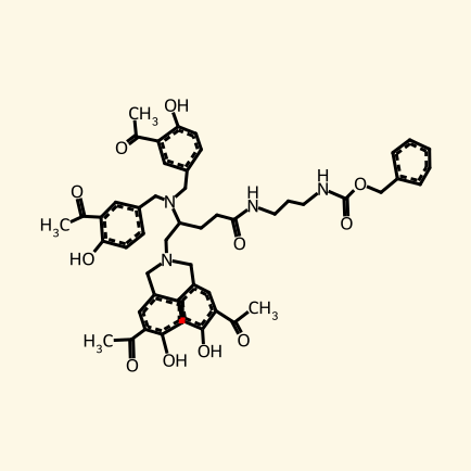 CC(=O)c1cc(CN(Cc2ccc(O)c(C(C)=O)c2)CC(CCC(=O)NCCCNC(=O)OCc2ccccc2)N(Cc2ccc(O)c(C(C)=O)c2)Cc2ccc(O)c(C(C)=O)c2)ccc1O